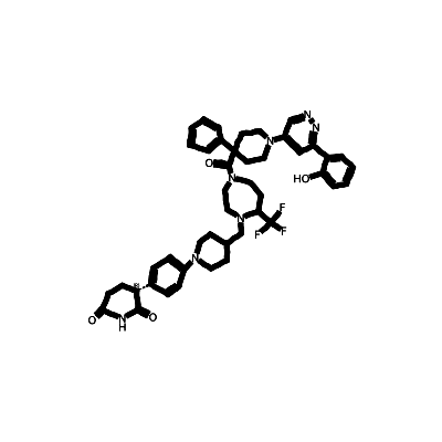 O=C1CC[C@H](c2ccc(N3CCC(CN4CCN(C(=O)C5(c6ccccc6)CCN(c6cnnc(-c7ccccc7O)c6)CC5)CCC4C(F)(F)F)CC3)cc2)C(=O)N1